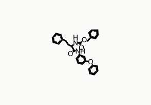 O=C(NC(CCc1ccccc1)C(=O)Nc1cccc(Oc2ccccc2)c1)OCc1ccccc1